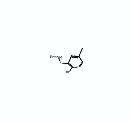 CCNCc1cc(C)ccc1Br